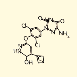 Nc1nn(-c2cc(Cl)c(OC3=NNC(O)C(C45CC(C4)C5)=C3)c(Cl)c2)c(=O)[nH]c1=O